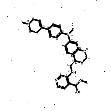 COC(O)c1ccncc1NC[C@@H]1CCOc2cc(N(C)c3ccc(C4=CCN(C)CC4)cc3)ccc21